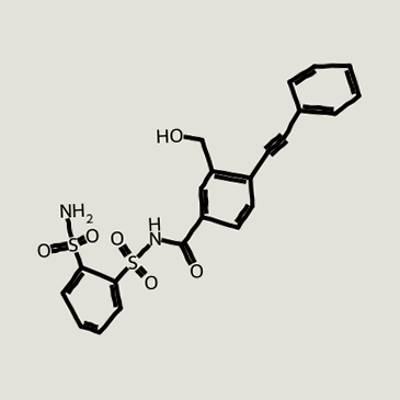 NS(=O)(=O)c1ccccc1S(=O)(=O)NC(=O)c1ccc(C#Cc2ccccc2)c(CO)c1